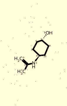 C=C(C)N[C@H]1CC[C@H](O)CC1